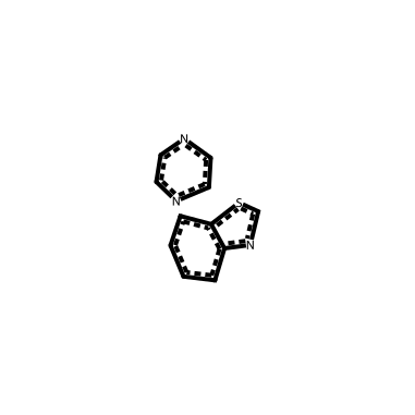 c1ccc2scnc2c1.c1cnccn1